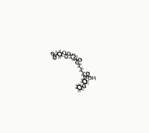 O=C(Oc1ccc([N+](=O)[O-])cc1)OC1CCN(C(=O)OCCCCCCN(C(=O)O)c2ccc(Oc3ccccc3)cc2)CC1